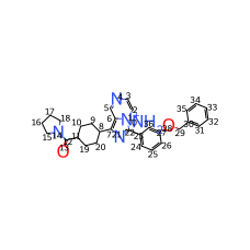 N[N+]12C=CN=CC1=C(C1CCC(C(=O)N3CCCC3)CC1)N=C2c1cccc(OCc2ccccc2)c1